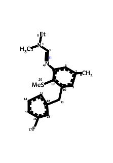 CCN(C)/C=N/c1cc(C)cc(Cc2cccc(F)c2)c1SC